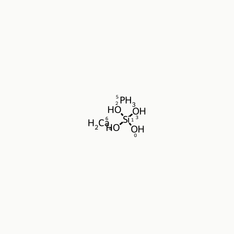 O[Si](O)(O)O.P.[CaH2]